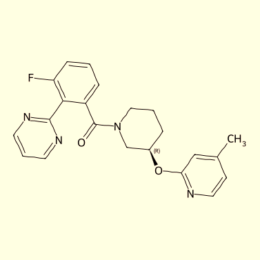 Cc1ccnc(O[C@@H]2CCCN(C(=O)c3cccc(F)c3-c3ncccn3)C2)c1